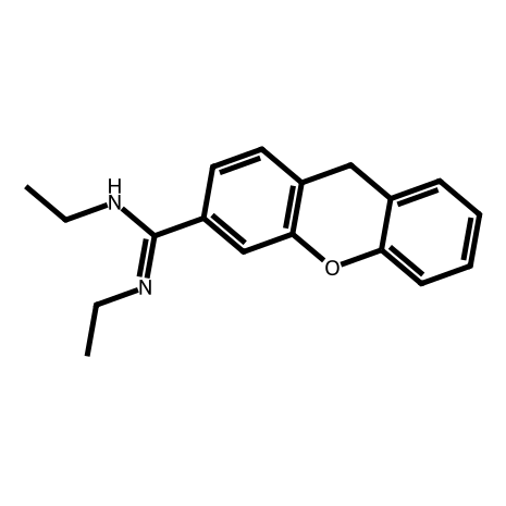 CCN=C(NCC)c1ccc2c(c1)Oc1ccccc1C2